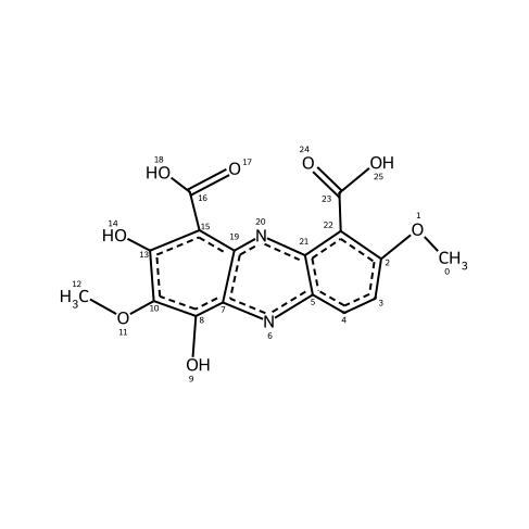 COc1ccc2nc3c(O)c(OC)c(O)c(C(=O)O)c3nc2c1C(=O)O